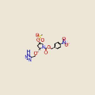 CS(=O)(=O)O[C@@H]1C[C@@H](COCc2ncn[nH]2)N(C(=O)OCc2ccc([N+](=O)[O-])cc2)C1